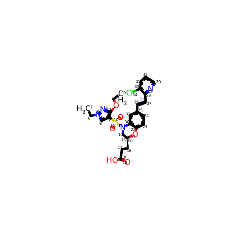 CCOc1nn(CC)cc1S(=O)(=O)N1C[C@H](CCC(=O)O)Oc2ccc(/C=C/c3ncccc3Cl)cc21